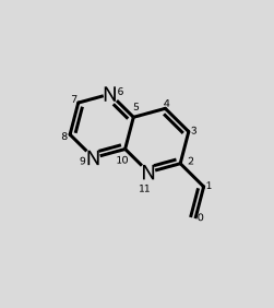 C=Cc1ccc2nccnc2n1